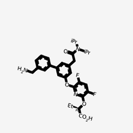 CC[C@@H](Oc1nc(Oc2cc(CC(=O)N(C(C)C)C(C)C)cc(-c3cccc(CN)c3)c2)c(F)cc1F)C(=O)O